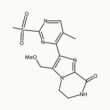 COCc1c(-c2nc(S(C)(=O)=O)ncc2C)nc2n1CCNC2=O